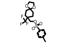 Cc1ccc(S(=O)(=O)OCC2(C(F)(F)F)CCC3(CC2)OCCO3)cc1